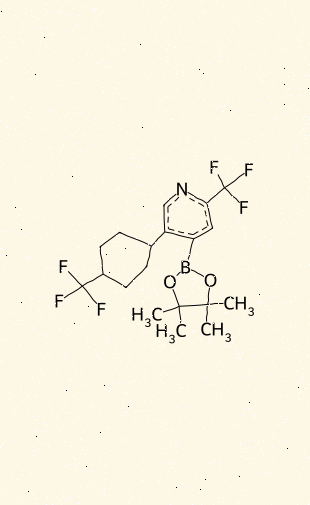 CC1(C)OB(c2cc(C(F)(F)F)ncc2C2CCC(C(F)(F)F)CC2)OC1(C)C